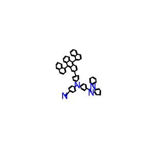 N#Cc1ccc(N(c2ccc(-c3ccc4c(-c5cccc6ccccc56)c5ccccc5c(-c5cccc6ccccc56)c4c3)cc2)c2ccc(-c3nc4ccccc4n3-c3ccccc3)cc2)cc1